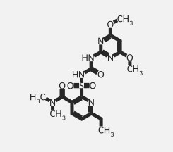 CCc1ccc(C(=O)N(C)C)c(S(=O)(=O)NC(=O)Nc2nc(OC)cc(OC)n2)n1